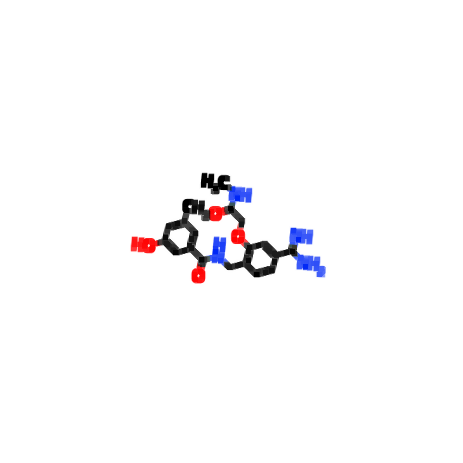 CNC(=O)COc1cc(C(=N)N)ccc1CNC(=O)c1cc(C)cc(O)c1